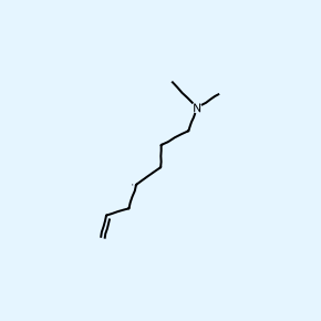 C=CC[CH]CCCN(C)C